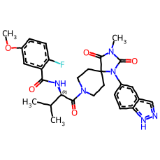 COc1ccc(F)c(C(=O)N[C@@H](C(=O)N2CCC3(CC2)C(=O)N(C)C(=O)N3c2ccc3[nH]ncc3c2)C(C)C)c1